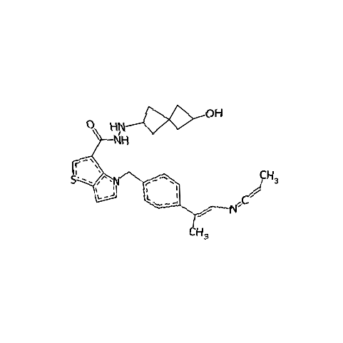 CC=C=N/C=C(\C)c1ccc(Cn2ccc3scc(C(=O)NNC4CC5(CC(O)C5)C4)c32)cc1